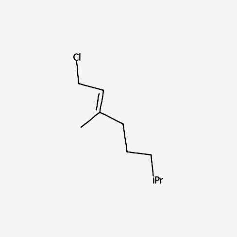 C/C(=C\CCl)CCCC(C)C